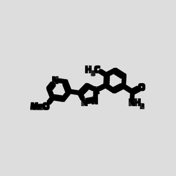 COc1cncc(-c2cn(-c3cc(C(N)=O)ccc3C)nn2)c1